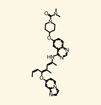 C\C=C/C(Oc1ccn2ccnc2c1)=C(C)\C=C(/C)Nc1ncnc2ccc(OC3CCN(C(=O)N(C)C)CC3)cc12